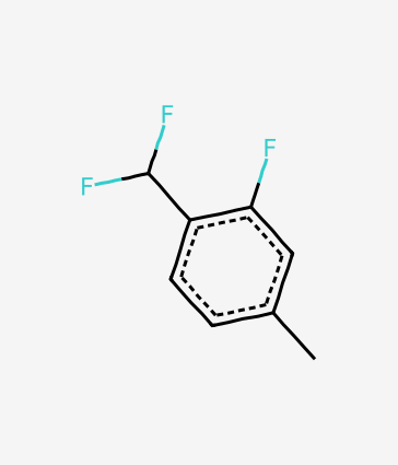 Cc1ccc(C(F)F)c(F)c1